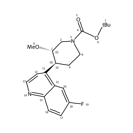 CO[C@@H]1CN(C(=O)OC(C)(C)C)CC[C@H]1c1ccnc2ccc(F)cc12